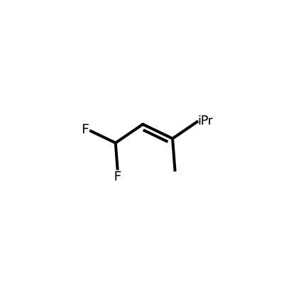 C/C(=C\C(F)F)C(C)C